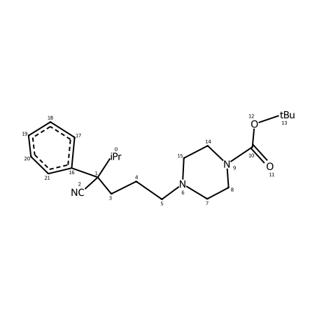 CC(C)C(C#N)(CCCN1CCN(C(=O)OC(C)(C)C)CC1)c1ccccc1